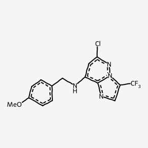 COc1ccc(CNc2cc(Cl)nn3c(C(F)(F)F)cnc23)cc1